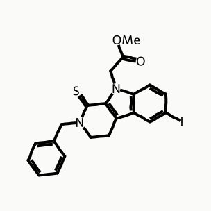 COC(=O)Cn1c2c(c3cc(I)ccc31)CCN(Cc1ccccc1)C2=S